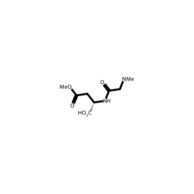 CNCC(=O)N[C@@H](CC(=O)OC)C(=O)O